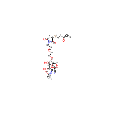 CC(=O)CCSC1CC(=O)N(CCOCCOC[C@@]23CO[C@@H](O2)[C@@H](NC(C)=O)[C@@H](O)[C@H]3O)C1=O